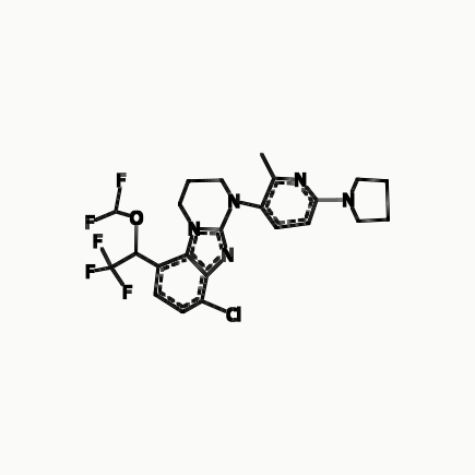 Cc1nc(N2CCCC2)ccc1N1CCCn2c1nc1c(Cl)ccc(C(OC(F)F)C(F)(F)F)c12